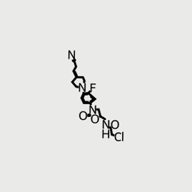 N#CCC=C1CCN(c2ccc(N3CC(CNC(=O)CCl)OC3=O)cc2F)CC1